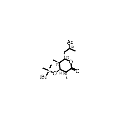 CC(=O)[C@@H](C)C[C@@H]1OC(=O)[C@H](C)[C@@H](O[Si](C)(C)C(C)(C)C)[C@H]1C